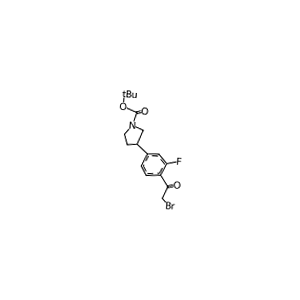 CC(C)(C)OC(=O)N1CCC(c2ccc(C(=O)CBr)c(F)c2)C1